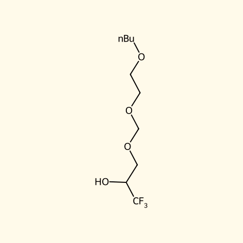 CCCCOCCOCOCC(O)C(F)(F)F